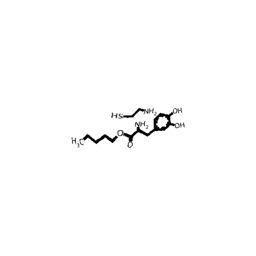 CCCCCOC(=O)C(N)Cc1ccc(O)c(O)c1.NCCS